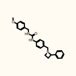 COc1ccc(CNC(=O)Nc2ccc(CN3CCC3c3ccccc3)cc2)cc1